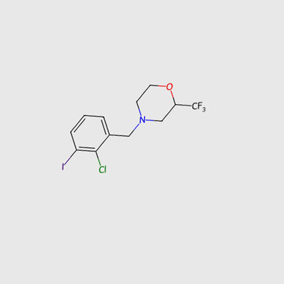 FC(F)(F)C1CN(Cc2cccc(I)c2Cl)CCO1